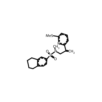 C=C(CN(C)S(=O)(=O)c1ccc2c(c1)CCCC2)c1cccc(SC)n1